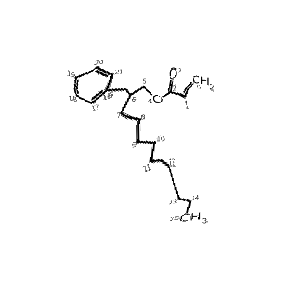 C=CC(=O)OCC(CCCCCCCCC)c1ccccc1